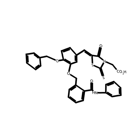 O=C(O)CN1C(=O)C(=Cc2ccc(OCc3ccccc3)c(OCc3ccccc3C(=O)Nc3ccccc3)c2)SC1=S